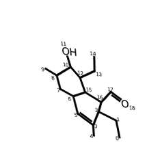 CCC1C(C)=CC2CC(C)C(O)C(CC)C2C1C=O